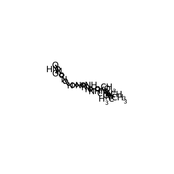 Cc1cc(-c2cc(Nc3ccc(N4CC5(CCN(CC6CCN(c7ccc(N8CCC(=O)NC8=O)cc7)CC6)CC5)C4)cn3)ncn2)ccc1C(C)NC(=O)c1nc(C(C)(C)C)no1